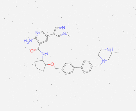 C[C@@H]1CN(Cc2ccc(-c3ccc(CO[C@H]4CCC[C@@H]4NC(=O)c4cc(-c5cnn(C)c5)cnc4N)cc3)cc2)CCN1